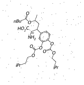 CCCCC(=O)OC(C)CC(c1ccc(OC(=O)OCCC(C)C)c(OC(=O)OCCC(C)C)c1)[C@H](N)C(=O)O